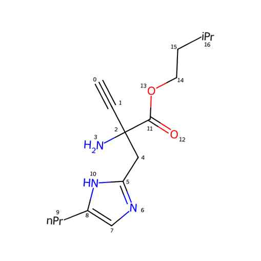 C#CC(N)(Cc1ncc(CCC)[nH]1)C(=O)OCCC(C)C